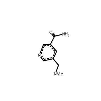 CNCc1cncc(C(N)=O)c1